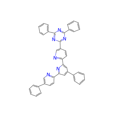 c1ccc(-c2ccc(-c3cc(-c4ccccc4)cc(-c4ccc(-c5nc(-c6ccccc6)nc(-c6ccccc6)n5)cn4)n3)nc2)cc1